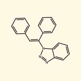 C(=C(c1ccccc1)n1nnc2ccccc21)c1ccccc1